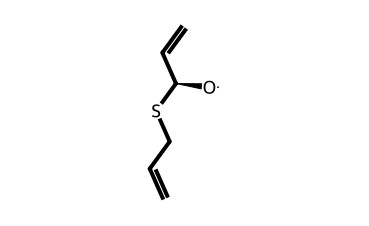 C=CCS[C@H]([O])C=C